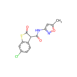 Cc1cc(NC(=O)C2C(=O)Sc3cc(Cl)ccc32)no1